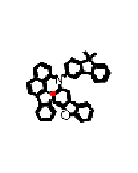 CC1(C)c2ccccc2-c2cc(N(c3ccc4oc5ccccc5c4c3)c3cccc4ccc5c6ccccc6sc5c34)ccc21